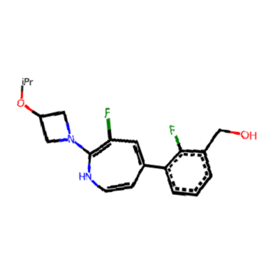 CC(C)OC1CN(C2=C(F)C=C(c3cccc(CO)c3F)C=CN2)C1